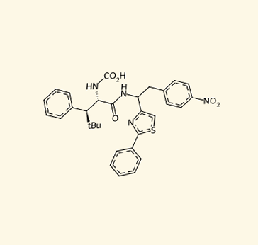 CC(C)(C)[C@@H](c1ccccc1)[C@H](NC(=O)O)C(=O)NC(Cc1ccc([N+](=O)[O-])cc1)c1csc(-c2ccccc2)n1